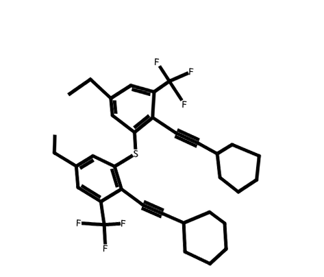 CCc1cc(Sc2cc(CC)cc(C(F)(F)F)c2C#CC2CCCCC2)c(C#CC2CCCCC2)c(C(F)(F)F)c1